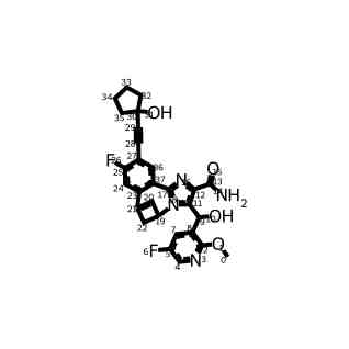 COc1ncc(F)cc1C(O)c1c(C(N)=O)nc2n1C1C=C(C1)c1cc(F)c(C#CC3(O)CCCC3)cc1-2